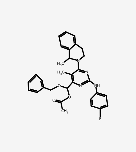 CC(=O)OC(OCc1ccccc1)c1nc(Nc2ccc(F)cc2)nc(N2CCc3ccccc3C2C)c1C